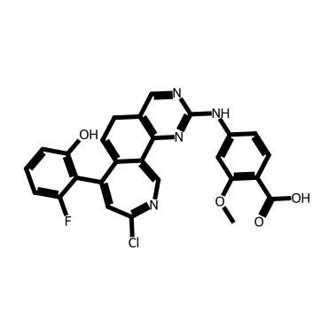 COc1cc(Nc2ncc3c(n2)C2=CN=C(Cl)C=C(c4c(O)cccc4F)C2=CC3)ccc1C(=O)O